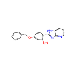 Oc1cc(OCc2ccccc2)ccc1-c1nc2ncccc2[nH]1